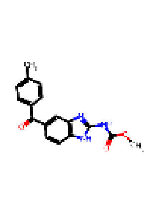 COC(=O)Nc1nc2cc(C(=O)c3ccc(C)cc3)ccc2[nH]1